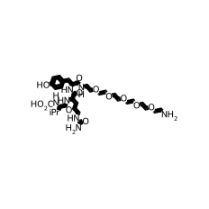 CC(C)C(NC(=O)O)C(=O)NC(CCCNC(N)=O)C(=O)NC(Cc1ccc(O)cc1)C(=O)NCCOCCOCCOCCOCCOCCN